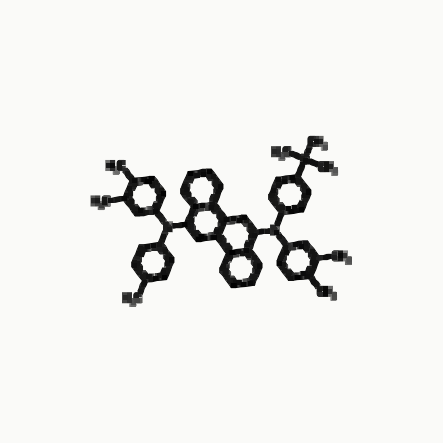 Cc1ccc(N(c2ccc(C)c(C)c2)c2cc3c4ccccc4c(N(c4ccc([Si](C)(C)C)cc4)c4ccc(C)c(C)c4)cc3c3ccccc23)cc1